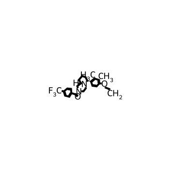 C=CCOc1ccc([C@H]2CCC[C@H]3CN(C(=O)c4ccc(C(F)(F)F)cc4)CCN32)c(C)c1C